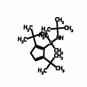 CC(C)(C)N[Si](C)(C)C1=C(C(C)(C)C)CC=C1C(C)(C)C